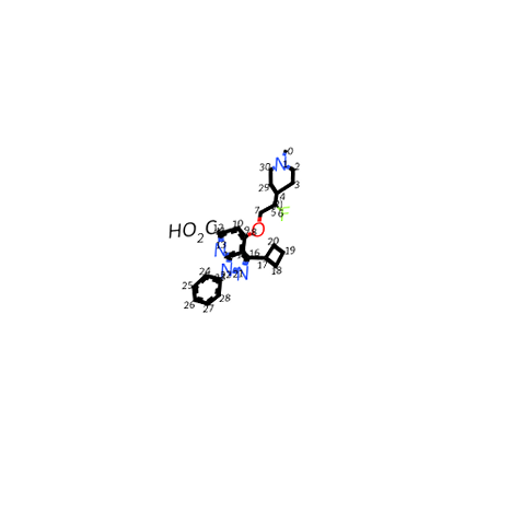 CN1CCC([C@@H](F)COc2cc(C(=O)O)nc3c2c(C2CCC2)nn3-c2ccccc2)CC1